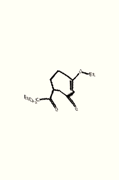 CCOC(=O)C(=O)C1CCC(OCC)=CC1=O